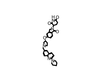 O=C1CCC(N2Cc3cc(O[C@H]4CCN(Cc5ccc6nc(N7CCCCC7)ccc6c5)C4)ccc3C2=O)C(=O)N1